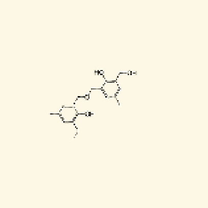 CCc1cc(C)cc(COCc2cc(C)cc(CO)c2O)c1O